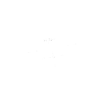 CC(CN)C[Si](C)(C)OC(C)C